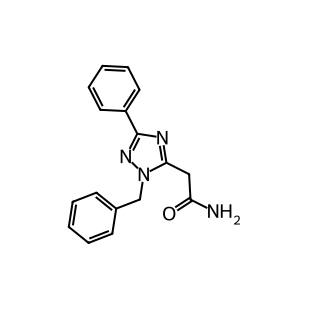 NC(=O)Cc1nc(-c2ccccc2)nn1Cc1ccccc1